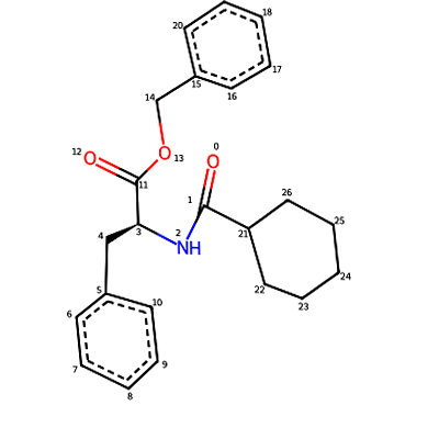 O=C(N[C@@H](Cc1ccccc1)C(=O)OCc1ccccc1)C1CCCCC1